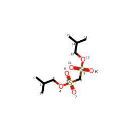 CC(C)COS(=O)(=O)CS(=O)(=O)OCC(C)C